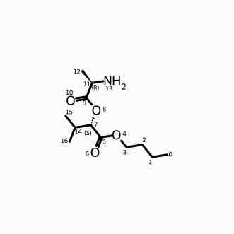 CCCCOC(=O)[C@@H](OC(=O)[C@@H](C)N)C(C)C